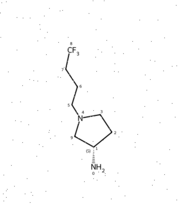 N[C@H]1CCN(CCCC(F)(F)F)C1